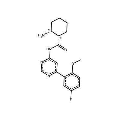 COc1ccc(F)cc1-c1cc(NC(=O)[C@H]2CCCC[C@H]2N)ncn1